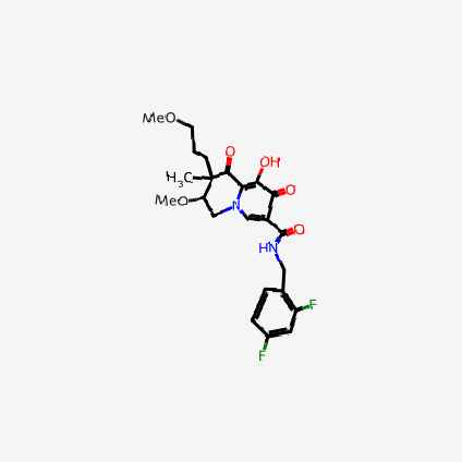 COCCCC1(C)C(=O)c2c(O)c(=O)c(C(=O)NCc3ccc(F)cc3F)cn2CC1OC